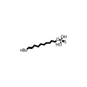 CCCCC=CCCCCCCCCOP(O)(O)=S